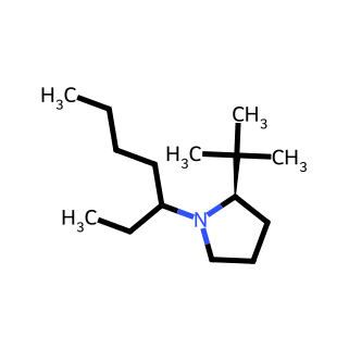 CCCCC(CC)N1CCC[C@@H]1C(C)(C)C